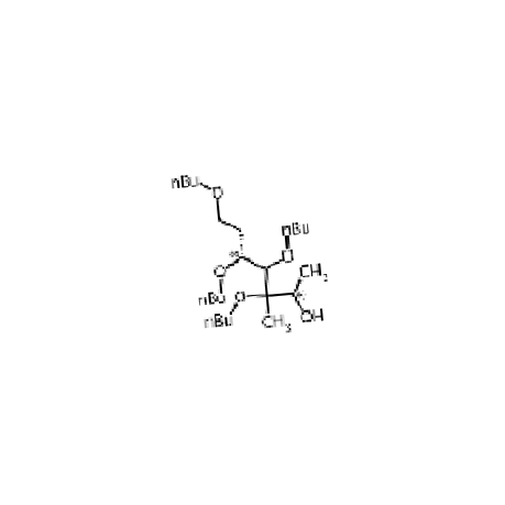 CCCCOCC[C@@H](OCCCC)C(OCCCC)C(C)(OCCCC)[C@@H](C)O